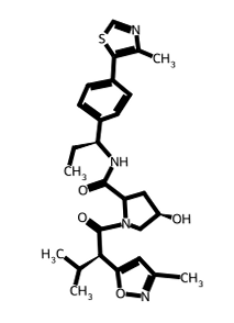 CC[C@H](NC(=O)C1C[C@@H](O)CN1C(=O)[C@@H](c1cc(C)no1)C(C)C)c1ccc(-c2scnc2C)cc1